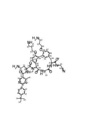 Cc1nc(-c2ccc(C(C)(C)C)cc2)ncc1C(=O)N[C@@H](CCN)C(=O)N(C)[C@@H]1C(=O)N[C@@H](C)C(=O)N[C@H](C(=O)NCC#N)Cc2ccc(OCCCN)c(c2)-c2cc1ccc2OCCCN